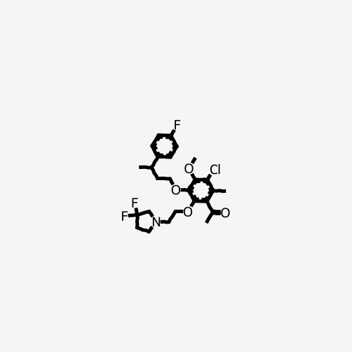 COc1c(Cl)c(C)c(C(C)=O)c(OCCN2CCC(F)(F)C2)c1OCCC(C)c1ccc(F)cc1